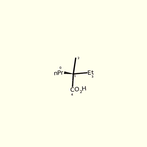 CCC[C@@](C)(CC)C(=O)O